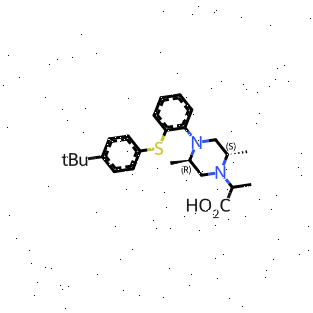 CC(C(=O)O)N1C[C@@H](C)N(c2ccccc2Sc2ccc(C(C)(C)C)cc2)C[C@@H]1C